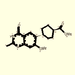 COc1cc2nc(C)[nH]c(=O)c2cc1[C@H]1CC[C@H](C(=O)OC)CC1